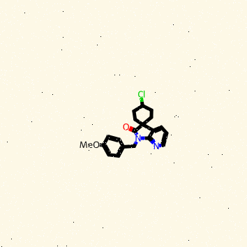 COc1ccc(CN2C(=O)C3(CCC(Cl)CC3)c3cccnc32)cc1